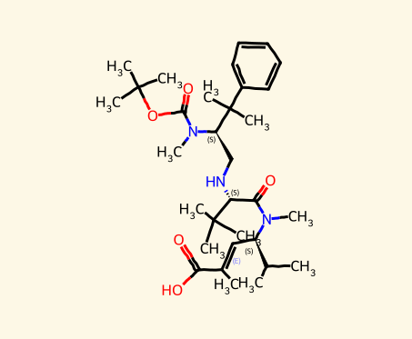 C/C(=C\[C@H](C(C)C)N(C)C(=O)[C@@H](NC[C@@H](N(C)C(=O)OC(C)(C)C)C(C)(C)c1ccccc1)C(C)(C)C)C(=O)O